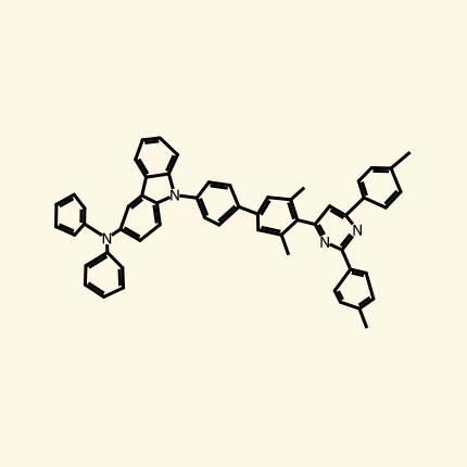 Cc1ccc(-c2cc(-c3c(C)cc(-c4ccc(-n5c6ccccc6c6cc(N(c7ccccc7)c7ccccc7)ccc65)cc4)cc3C)nc(-c3ccc(C)cc3)n2)cc1